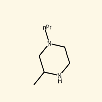 [CH2]CCN1CCNC(C)C1